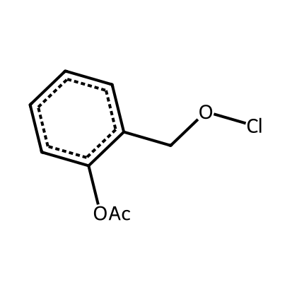 CC(=O)Oc1ccccc1COCl